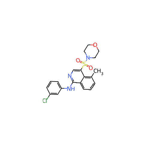 Cc1cccc2c(Nc3cccc(Cl)c3)ncc(S(=O)(=O)N3CCOCC3)c12